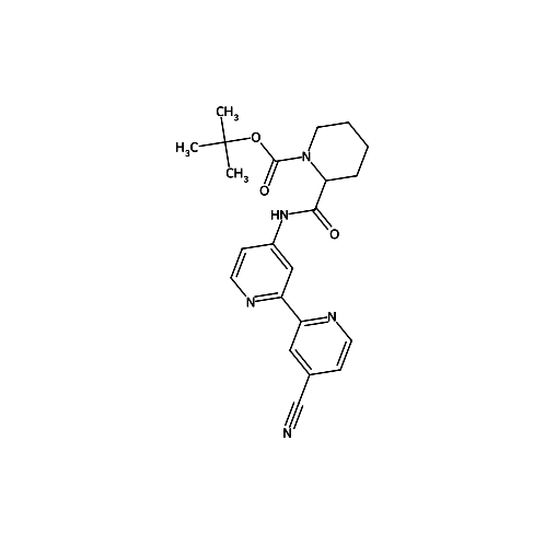 CC(C)(C)OC(=O)N1CCCCC1C(=O)Nc1ccnc(-c2cc(C#N)ccn2)c1